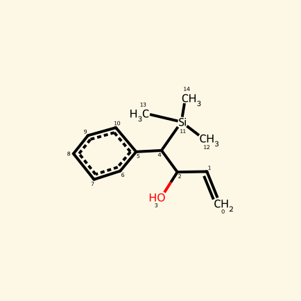 C=CC(O)C(c1ccccc1)[Si](C)(C)C